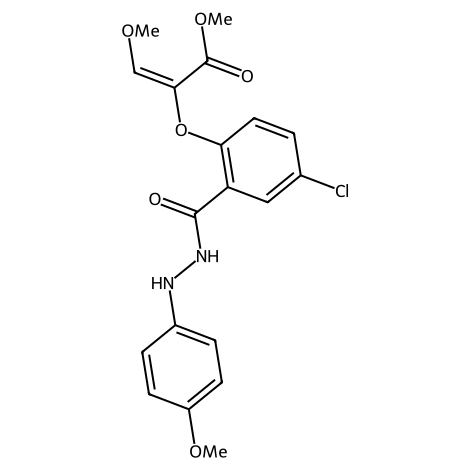 COC=C(Oc1ccc(Cl)cc1C(=O)NNc1ccc(OC)cc1)C(=O)OC